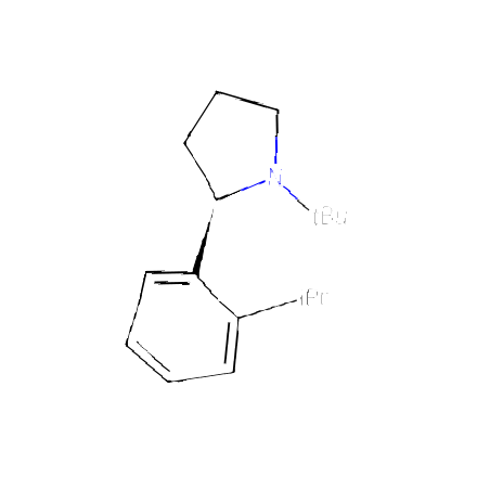 CC(C)c1ccccc1[C@H]1CCCN1C(C)(C)C